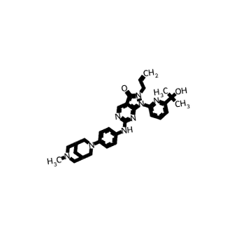 C=CCn1c(=O)c2cnc(Nc3ccc(N4CC5CC(CN(C)C5)C4)cc3)nc2n1-c1cccc(C(C)(C)O)n1